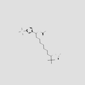 CC(=O)OC(CCCCCCCC(O[SiH](C)C)C(C)(C)C)c1coc([Si](C)(C)C)c1